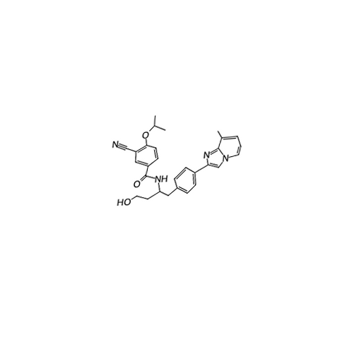 Cc1cccn2cc(-c3ccc(CC(CCO)NC(=O)c4ccc(OC(C)C)c(C#N)c4)cc3)nc12